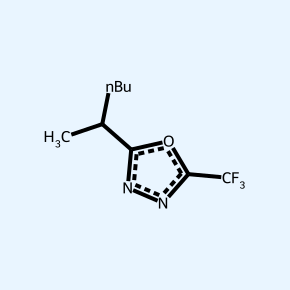 CCCCC(C)c1nnc(C(F)(F)F)o1